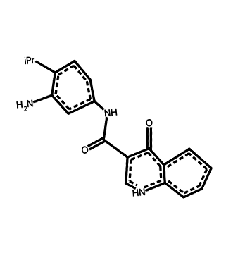 CC(C)c1ccc(NC(=O)c2c[nH]c3ccccc3c2=O)cc1N